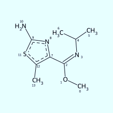 CO/C(=N/C(C)C)c1nc(N)sc1C